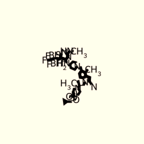 BC(B)(c1cc2c(NC3CCN(Cc4ccc5c(cc(C#N)n5C[C@H](CC)N5CCN(S(=O)(=O)CC6CC6)CC5)c4C)CC3)nc(NC)nc2s1)C(F)(F)F